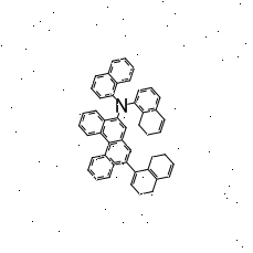 C1=CC2=C(CC1)C(c1cc3cc(N(c4cccc5c4CCC=C5)c4cccc5ccccc45)c4ccccc4c3c3ccccc13)=CCC2